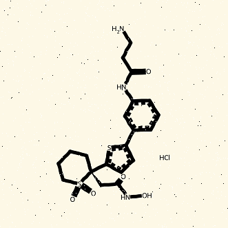 Cl.NCCC(=O)Nc1cccc(-c2ccc([C@@]3(CC(=O)NO)CCCCS3(=O)=O)s2)c1